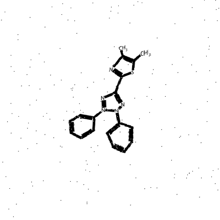 Cc1nc(-c2nn(-c3ccccc3)[n+](-c3ccccc3)n2)sc1C